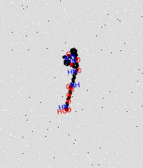 CCc1cccc(N(CC)C(=O)Cn2c(C(=O)N[C@H]3CC[C@H](C(=O)NCCCCCCNC(=O)OCCOCCOCCNC(=O)O)CC3)cc3ccccc32)c1